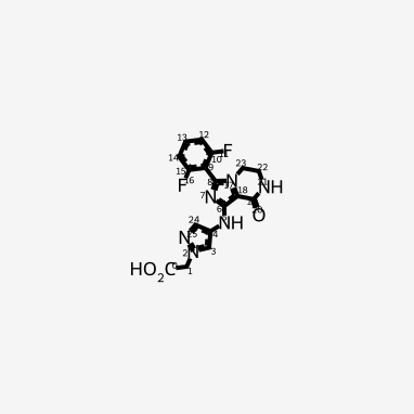 O=C(O)Cn1cc(Nc2nc(-c3c(F)cccc3F)n3c2C(=O)NCC3)cn1